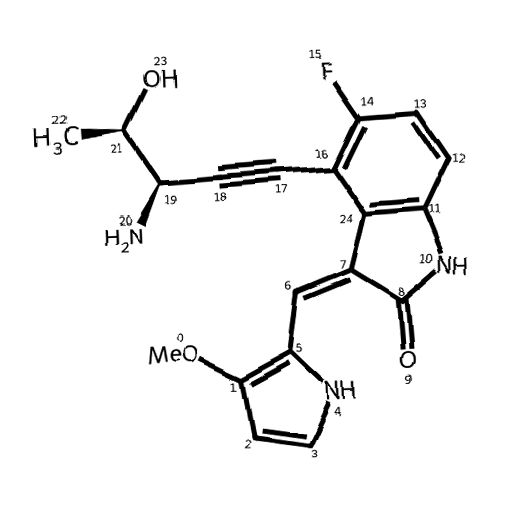 COc1cc[nH]c1C=C1C(=O)Nc2ccc(F)c(C#C[C@@H](N)[C@@H](C)O)c21